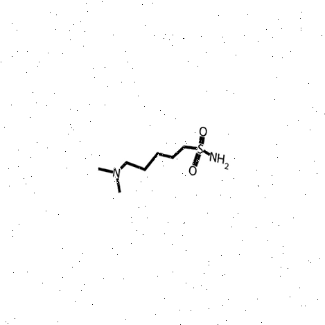 CN(C)CCCCCS(N)(=O)=O